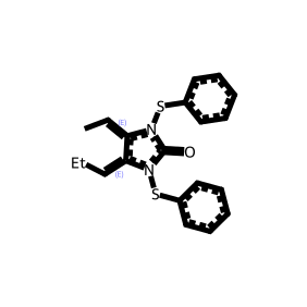 C/C=c1\c(=C/CC)n(Sc2ccccc2)c(=O)n1Sc1ccccc1